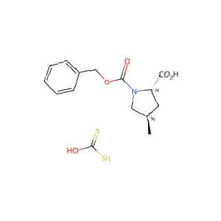 C[C@@H]1C[C@@H](C(=O)O)N(C(=O)OCc2ccccc2)C1.OC(=S)S